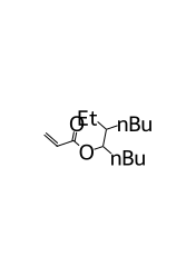 C=CC(=O)OC(CCCC)C(CC)CCCC